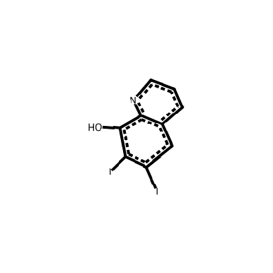 Oc1c(I)c(I)cc2cccnc12